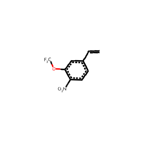 C=[C]c1ccc([N+](=O)[O-])c(OC(F)(F)F)c1